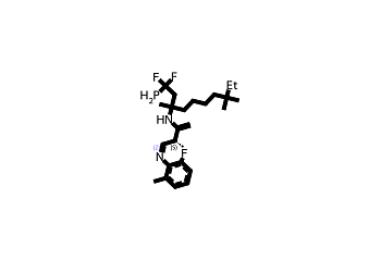 C=C(NC(C)(CCCCC(C)(C)CC)CC(F)(F)P)[C@H](C)/C=N\c1c(C)cccc1F